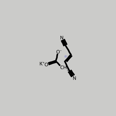 CC(=O)[O-].N#C/C=C/C#N.[K+]